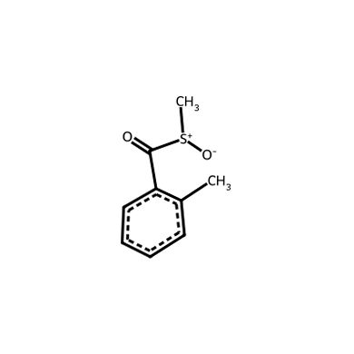 Cc1ccccc1C(=O)[S+](C)[O-]